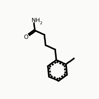 Cc1ccccc1CCCC(N)=O